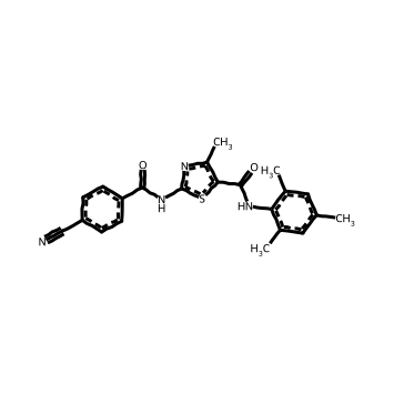 Cc1cc(C)c(NC(=O)c2sc(NC(=O)c3ccc(C#N)cc3)nc2C)c(C)c1